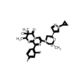 CC1N=C2C(c3ccc(F)cc3F)=NC(N3C[C@@H](C)O[C@H](c4cnn(C5CC5)c4)C3)=CN2C(=O)C1(C)Cl